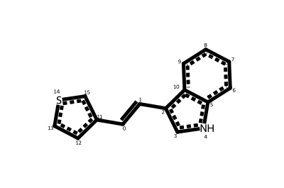 C(=Cc1c[nH]c2ccccc12)c1ccsc1